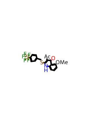 COc1cccc2[nH]c(SCc3ccc(S(F)(F)(F)(F)F)cc3)c(C(C)=O)c(=O)c12